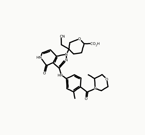 Cc1cc(Nc2nn(C3(CC#N)CCC(C(=O)O)OC3)c3cc[nH]c(=O)c23)ccc1C(=O)N1CCOCC1C